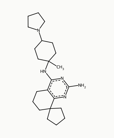 CC1(Nc2nc(N)nc3c2CCCC32CCCC2)CCC(N2CCCC2)CC1